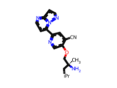 CC(C)C[C@](C)(N)COc1cnc(-c2ccnc3ccnn23)cc1C#N